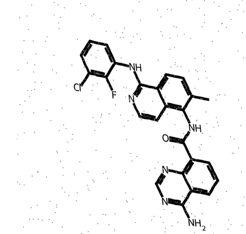 Cc1ccc2c(Nc3cccc(Cl)c3F)nccc2c1NC(=O)c1cccc2c(N)ncnc12